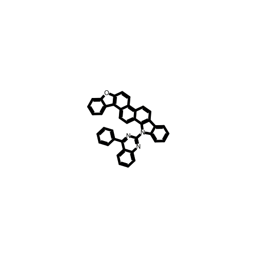 c1ccc(-c2nc(-n3c4ccccc4c4ccc5c6ccc7oc8ccccc8c7c6ccc5c43)nc3ccccc23)cc1